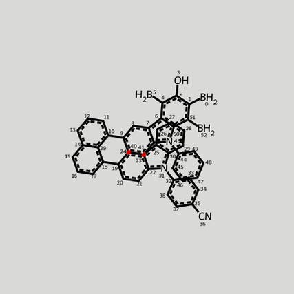 Bc1c(O)c(B)c2c3cc(-c4cccc5cccc(-c6ccc7c(c6)c6ccccc6n7-c6ccc(C#N)cc6)c45)ccc3n(-c3ccccc3)c2c1B